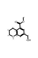 COC(=O)c1cc(CO)cc2c1CCCO2